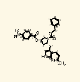 C=C/C=C\c1c(C[C@@H]2C[C@H](OC(=O)c3ccc([N+](=O)[O-])cc3)CN2C(=O)OCc2ccccc2)c[nH]c1N